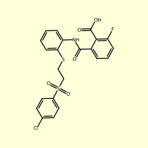 O=C(Nc1ccccc1SCCS(=O)(=O)c1ccc(Cl)cc1)c1cccc(F)c1C(=O)O